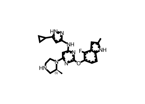 Cc1cc2c(F)c(Oc3nc(Nc4cc(C5CC5)[nH]n4)cc(N4CCNC[C@@H]4C)n3)ccc2[nH]1